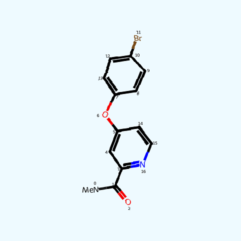 CNC(=O)c1cc(Oc2ccc(Br)cc2)ccn1